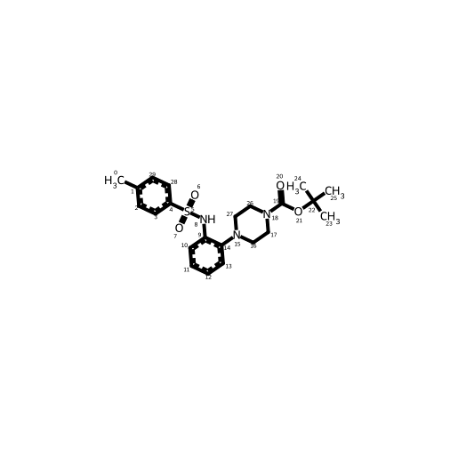 Cc1ccc(S(=O)(=O)Nc2ccccc2N2CCN(C(=O)OC(C)(C)C)CC2)cc1